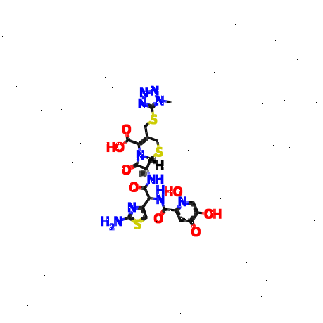 Cn1nnnc1SCC1=C(C(=O)O)N2C(=O)[C@@H](NC(=O)C(NC(=O)c3cc(=O)c(O)cn3O)c3csc(N)n3)[C@H]2SC1